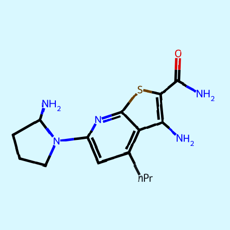 CCCc1cc(N2CCCC2N)nc2sc(C(N)=O)c(N)c12